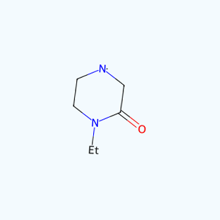 CCN1CC[N]CC1=O